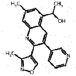 Cc1cc(C(C)O)c2cc(-c3cccnc3)c(-c3conc3C)nc2c1